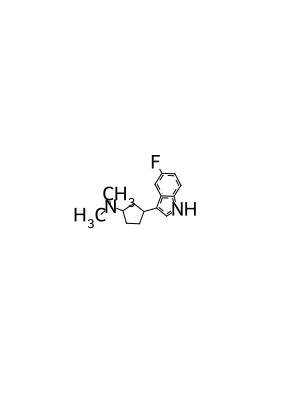 CN(C)C1CCC(c2c[nH]c3ccc(F)cc23)C1